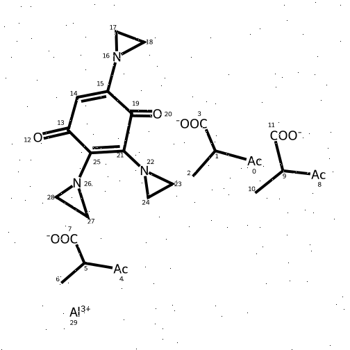 CC(=O)C(C)C(=O)[O-].CC(=O)C(C)C(=O)[O-].CC(=O)C(C)C(=O)[O-].O=C1C=C(N2CC2)C(=O)C(N2CC2)=C1N1CC1.[Al+3]